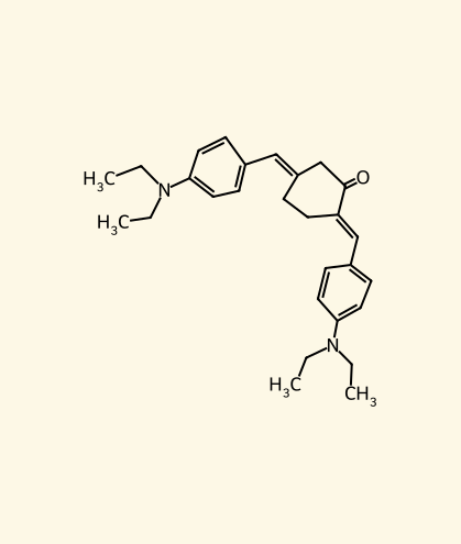 CCN(CC)c1ccc(C=C2CCC(=Cc3ccc(N(CC)CC)cc3)C(=O)C2)cc1